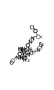 CC1(C)CCC(CN2CCN(c3ccc(C(=O)NS(=O)(=O)c4ccc(NCC5CCOCC5)c([N+](=O)[O-])c4)c(N4CC(C(C)(C)CN5CCC(F)(F)CC5)Oc5nc6[nH]ccc6cc54)c3)CC2)=C(c2ccc(Cl)cc2)C1